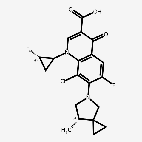 C[C@@H]1CN(c2c(F)cc3c(=O)c(C(=O)O)cn(C4C[C@@H]4F)c3c2Cl)CC12CC2